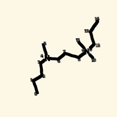 CCCCN(C)CCC[N+](C)(C)CCC